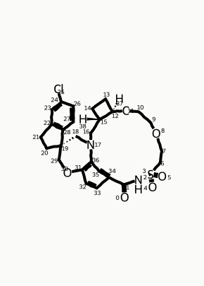 O=C1NS(=O)(=O)CCOCCC[C@@H]2CC[C@H]2CN2C[C@@]3(CCc4cc(Cl)ccc43)COc3ccc1cc32